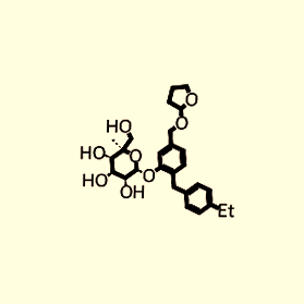 CCc1ccc(Cc2ccc(COC3CCCO3)cc2O[C@H]2O[C@](C)(CO)[C@@H](O)[C@H](O)[C@H]2O)cc1